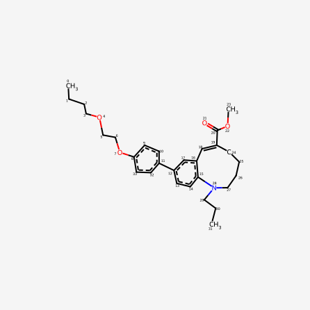 CCCCOCCOc1ccc(-c2ccc3c(c2)/C=C(/C(=O)OC)CCCCN3CCC)cc1